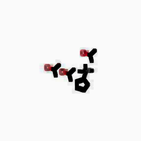 CC(C)[O-].CC(C)[O-].CC(C)[O-].[CH3][V+3]([CH3])([CH3])[C]1=CC=CC1